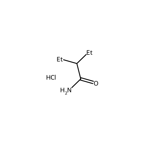 CCC(CC)C(N)=O.Cl